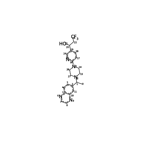 CC(c1ccc2nccnc2c1)N1CCN(c2ccc(C(O)CC(F)(F)F)cn2)CC1